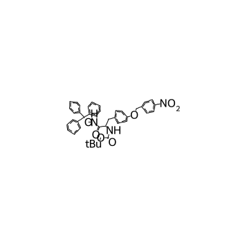 CC(C)(C)OC(=O)NC(Cc1ccc(OCc2ccc([N+](=O)[O-])cc2)cc1)C(=O)NOC(c1ccccc1)(c1ccccc1)c1ccccc1